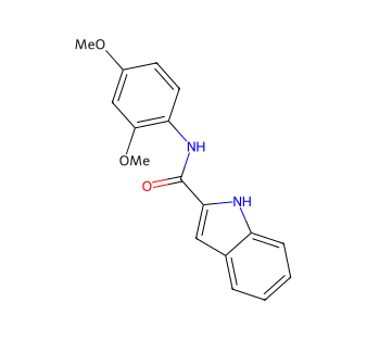 COc1ccc(NC(=O)c2cc3ccccc3[nH]2)c(OC)c1